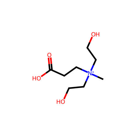 C[N+](CCO)(CCO)CCC(=O)O